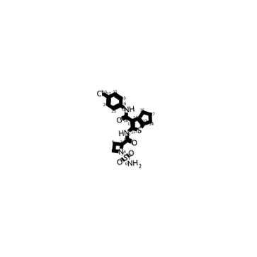 NS(=O)(=O)N1CCC1C(=O)Nc1sc2c(c1C(=O)Nc1ccc(Cl)cc1)CCC2